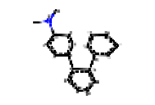 CN(C)c1ccc(-c2ccccc2-c2ccccc2)cc1